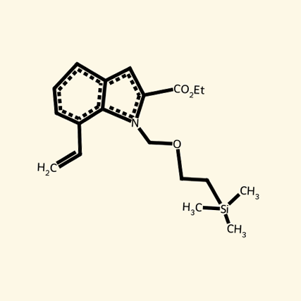 C=Cc1cccc2cc(C(=O)OCC)n(COCC[Si](C)(C)C)c12